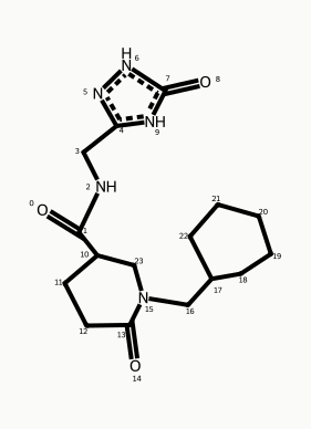 O=C(NCc1n[nH]c(=O)[nH]1)C1CCC(=O)N(CC2CCCCC2)C1